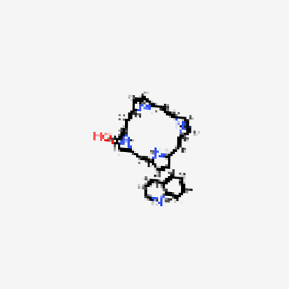 OCn1c2ccc1cc1nc(cc3ccc(cc4nc(c2)C=C4)[nH]3)C=C1.c1ccc2ncccc2c1